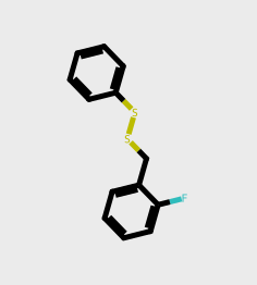 Fc1ccccc1CSSc1ccccc1